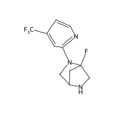 FC(F)(F)c1ccnc(N2CC3CC2(F)CN3)c1